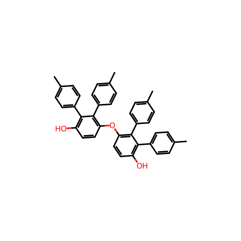 Cc1ccc(-c2c(O)ccc(Oc3ccc(O)c(-c4ccc(C)cc4)c3-c3ccc(C)cc3)c2-c2ccc(C)cc2)cc1